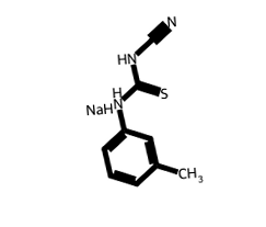 Cc1cccc(NC(=S)NC#N)c1.[NaH]